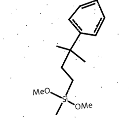 CO[Si](C)(CCC(C)(C)c1ccccc1)OC